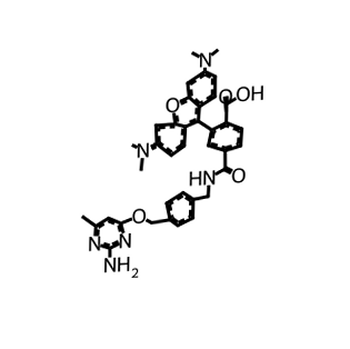 Cc1cc(OCc2ccc(CNC(=O)c3ccc(C(=O)O)c(-c4c5ccc(=[N+](C)C)cc-5oc5cc(N(C)C)ccc45)c3)cc2)nc(N)n1